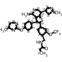 C=CC(=O)NCc1ccc(-c2sc3c(-c4cnn(C)c4)cnc(N)c3c2-c2ccc(Oc3nccc(C)n3)cc2)cc1OC(F)(F)F